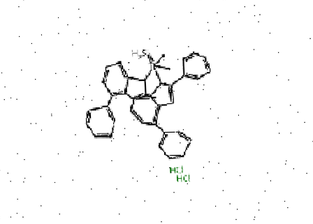 CC1=Cc2c(-c3ccccc3)cccc2[CH]1[Ti]([CH3])([CH3])(=[SiH2])[CH]1C(c2ccccc2)=Cc2c(-c3ccccc3)cccc21.Cl.Cl